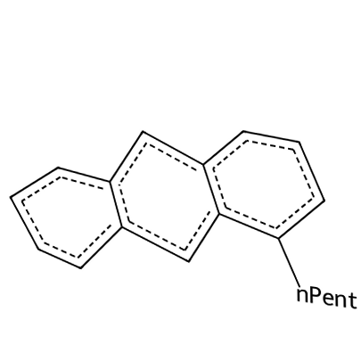 [CH2]CCCCc1cccc2cc3ccccc3cc12